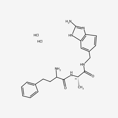 C[C@H](NC(=O)C(N)CCc1ccccc1)C(=O)NCc1ccc2nc(N)[nH]c2c1.Cl.Cl